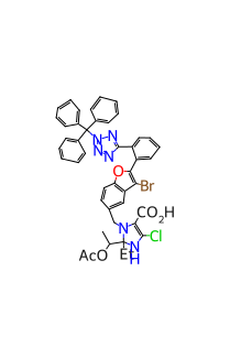 CCC1(C(C)OC(C)=O)NC(Cl)=C(C(=O)O)N1Cc1ccc2oc(-c3ccccc3-c3nnn(C(c4ccccc4)(c4ccccc4)c4ccccc4)n3)c(Br)c2c1